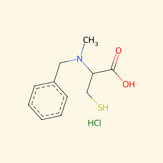 CN(Cc1ccccc1)C(CS)C(=O)O.Cl